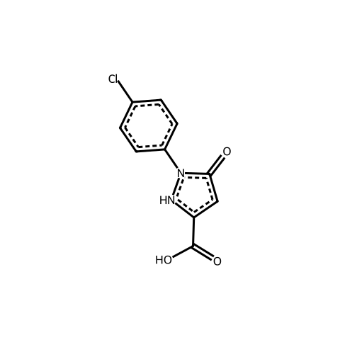 O=C(O)c1cc(=O)n(-c2ccc(Cl)cc2)[nH]1